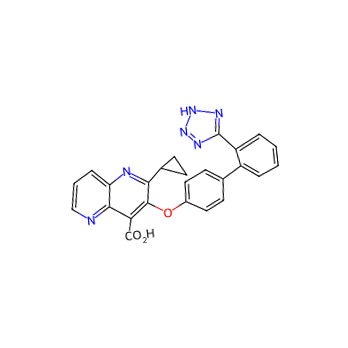 O=C(O)c1c(Oc2ccc(-c3ccccc3-c3nn[nH]n3)cc2)c(C2CC2)nc2cccnc12